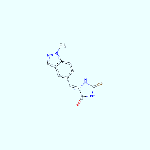 Cn1ncc2cc(/C=C3\NC(=S)NC3=O)ccc21